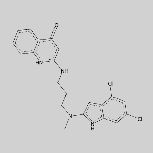 CN(CCCNc1cc(=O)c2ccccc2[nH]1)c1cc2c(Cl)cc(Cl)cc2[nH]1